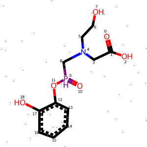 O=C(O)CN(CCO)C[PH](=O)Oc1ccccc1O